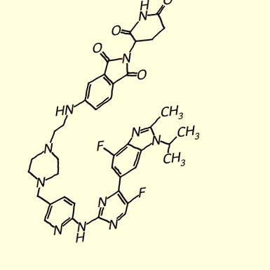 Cc1nc2c(F)cc(-c3nc(Nc4ccc(CN5CCN(CCNc6ccc7c(c6)C(=O)N(C6CCC(=O)NC6=O)C7=O)CC5)cn4)ncc3F)cc2n1C(C)C